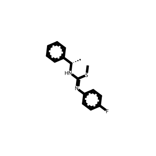 CSC(=Nc1ccc(F)cc1)N[C@@H](C)c1ccccc1